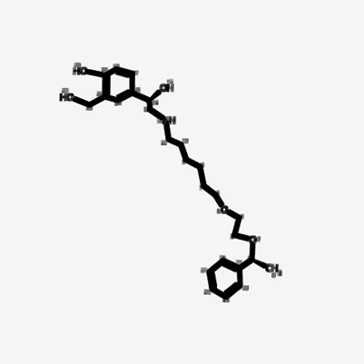 C[C@H](OCCOCCCCCCNC[C@H](O)c1ccc(O)c(CO)c1)c1ccccc1